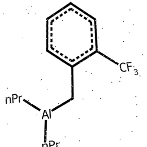 CC[CH2][Al]([CH2]CC)[CH2]c1ccccc1C(F)(F)F